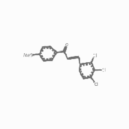 CSc1ccc(C(=O)C=Cc2ccc(Cl)c(Cl)c2Cl)cc1